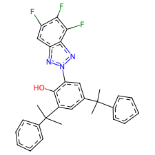 CC(C)(c1ccccc1)c1cc(-n2nc3cc(F)c(F)c(F)c3n2)c(O)c(C(C)(C)c2ccccc2)c1